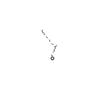 CC(CCC(=O)NCCOCCOCC(=O)NC(CCCCNC(=O)c1ccc(N)cc1)C(N)=O)C(=O)O